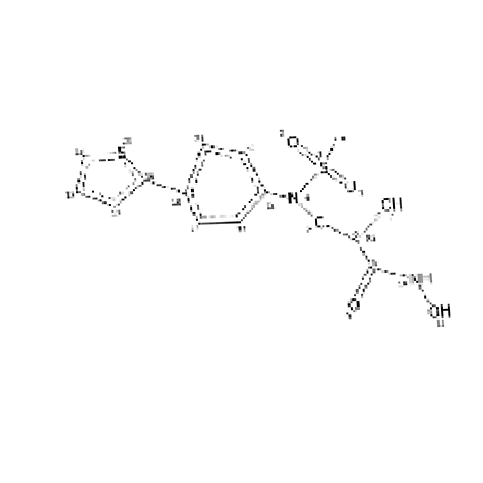 CS(=O)(=O)N(C[C@H](O)C(=O)NO)c1ccc(-c2cccs2)cc1